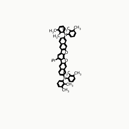 Cc1cccc(N(c2ccc3cc4c(cc3c2)oc2c4cc(C(C)C)c3c4cc5ccc(N(c6cccc(C)c6C)c6cccc(C)c6C)cc5cc4oc23)c2cccc(C)c2C)c1C